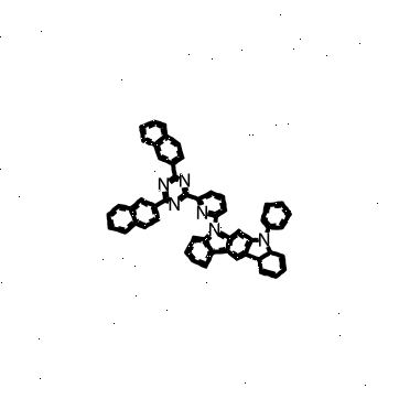 C1=CC2c3cc4c5ccccc5n(-c5cccc(-c6nc(-c7ccc8ccccc8c7)nc(-c7ccc8ccccc8c7)n6)n5)c4cc3N(c3ccccc3)C2C=C1